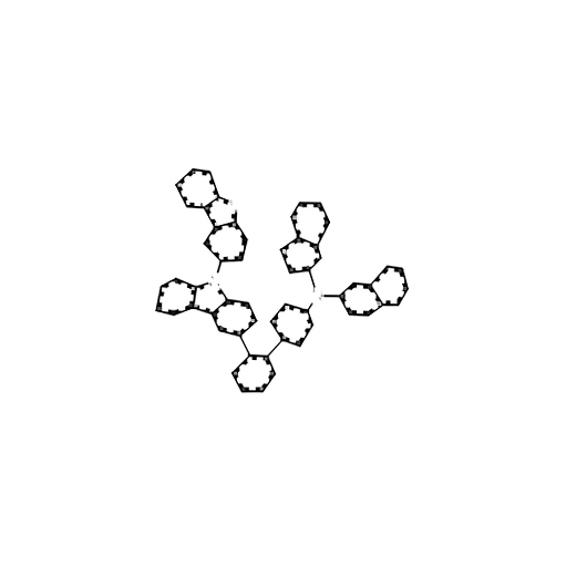 c1ccc(-c2ccc3c(c2)c2ccccc2n3-c2ccc3oc4ccccc4c3c2)c(-c2ccc(N(c3ccc4ccccc4c3)c3ccc4ccccc4c3)cc2)c1